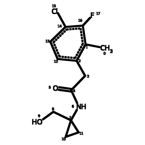 Cc1c(CC(=O)NC2(CO)CC2)ccc(Cl)c1F